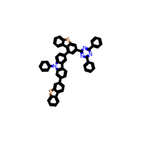 c1ccc(-c2nc(-c3ccccc3)nc(-c3cc(-c4ccc5c(c4)c4ccc(-c6ccc7c(c6)sc6ccccc67)cc4n5-c4ccccc4)c4c(c3)sc3ccccc34)n2)cc1